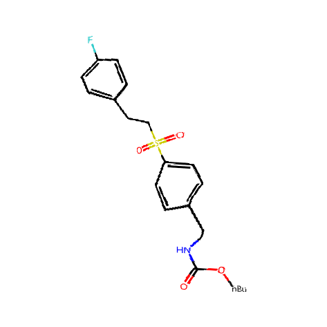 CCCCOC(=O)NCc1ccc(S(=O)(=O)CCc2ccc(F)cc2)cc1